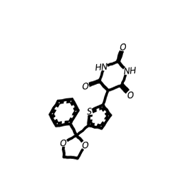 O=C1NC(=O)C(c2ccc(C3(c4ccccc4)OCCO3)s2)C(=O)N1